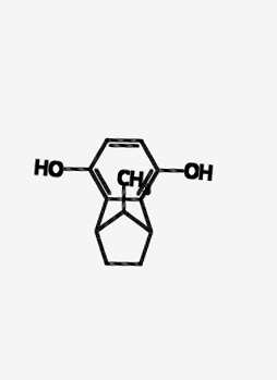 CC1C2CCC1c1c(O)ccc(O)c12